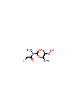 CSC(OC(=O)N(C)C(=O)CCl)C(=NO)C(C)(C)C